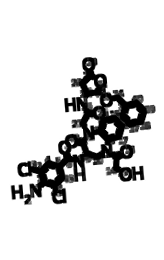 Nc1c(Cl)cc(C(=O)N[C@H]2CN(C(=O)CO)c3ccccc3N(CC(=O)N[C@H]3CC(=O)O[C@H]3OCc3ccccc3)C2=O)cc1Cl